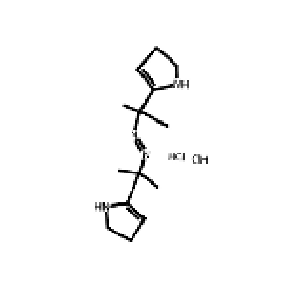 CC(C)(N=NC(C)(C)C1=CCCN1)C1=CCCN1.Cl.Cl